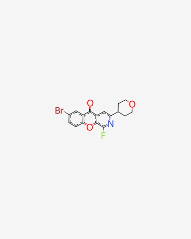 O=c1c2cc(Br)ccc2oc2c(F)nc(C3CCOCC3)cc12